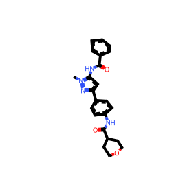 Cn1nc(-c2ccc(NC(=O)C3CCOCC3)cc2)cc1NC(=O)c1ccccc1